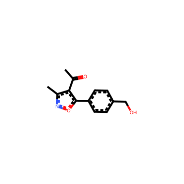 CC(=O)c1c(C)noc1-c1ccc(CO)cc1